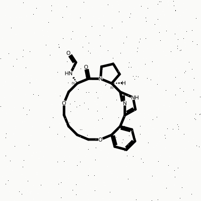 O=CN[C@H]1COCCCCOc2ccccc2-c2c[nH]c(n2)[C@@H]2CCCN2C1=O